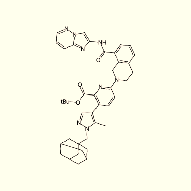 Cc1c(-c2ccc(N3CCc4cccc(C(=O)Nc5cn6ncccc6n5)c4C3)nc2C(=O)OC(C)(C)C)cnn1CC12CC3CC(CC(C3)C1)C2